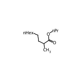 CCCCCCCCC(C)C(=O)OCCC